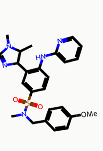 COc1ccc(CN(C)S(=O)(=O)c2ccc(Nc3ccccn3)c(C3N=CN(C)C3C)c2)cc1